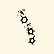 CC(C)(C)S(=O)(=O)N[C@H]1CC[C@H](C(=O)Nc2ccc(OC3CCCC3)cc2)CC1